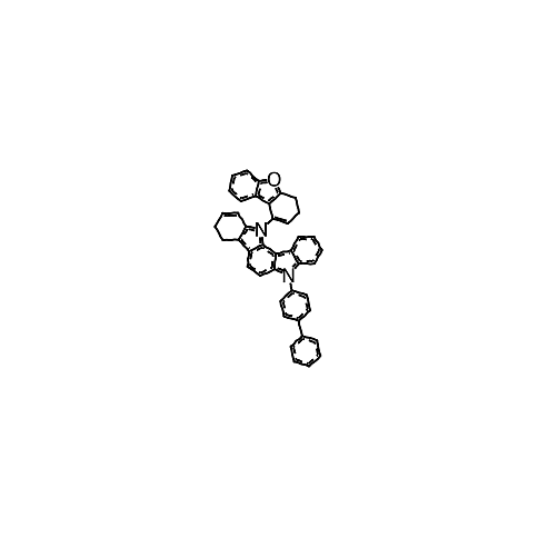 C1=Cc2c(c3ccc4c(c5ccccc5n4-c4ccc(-c5ccccc5)cc4)c3n2C2=CCCc3oc4ccccc4c32)CC1